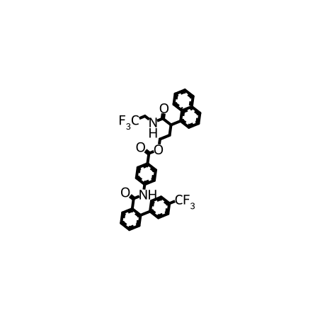 O=C(OCCC(C(=O)NCC(F)(F)F)c1cccc2ccccc12)c1ccc(NC(=O)c2ccccc2-c2ccc(C(F)(F)F)cc2)cc1